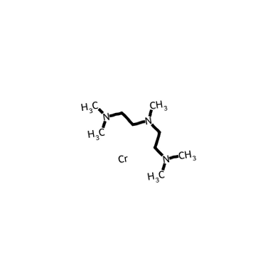 CN(C)CCN(C)CCN(C)C.[Cr]